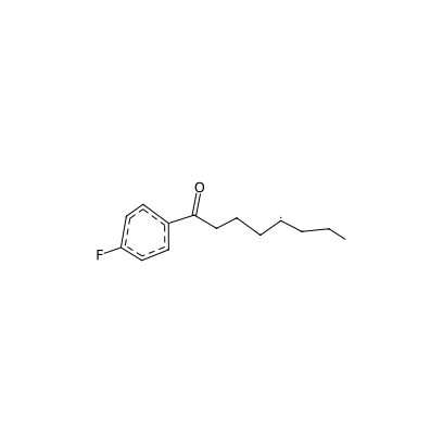 CCC[CH]CCCC(=O)c1ccc(F)cc1